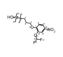 CC(C)(CCCOc1ccc([N+](=O)[O-])cc1OC(F)F)[Si](C)(C)O